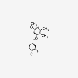 COc1nc(C)c(C)c(OCc2ccc(Cl)c(F)c2)n1